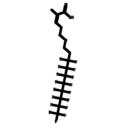 CC(=CC[CH]OCCC(F)(F)C(F)(F)C(F)(F)C(F)(F)C(F)(F)C(F)(F)C(F)(F)C(F)(F)F)C(=O)O